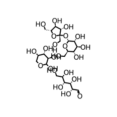 O=C[C@H](O)[C@@H](O)[C@H](O)[C@H](O)CO.OC1OC[C@@H](O)[C@H](O)[C@H]1O.OC[C@H]1O[C@@](CO)(O[C@H]2O[C@H](CO)[C@@H](O)[C@H](O)[C@H]2O)[C@@H](O)[C@@H]1O